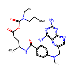 CNCCN(CC(C)=O)C(=O)OC(=O)CC[C@@H](NC(=O)c1ccc(N(C)Cc2cnc3nc(N)nc(N)c3n2)cc1)C(=O)O